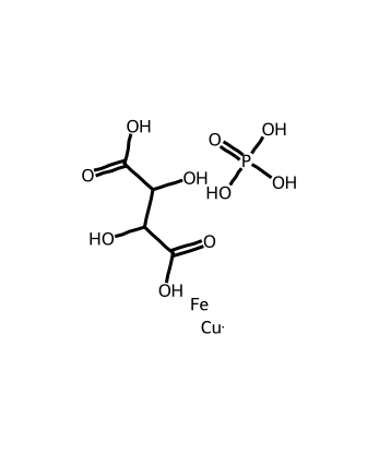 O=C(O)C(O)C(O)C(=O)O.O=P(O)(O)O.[Cu].[Fe]